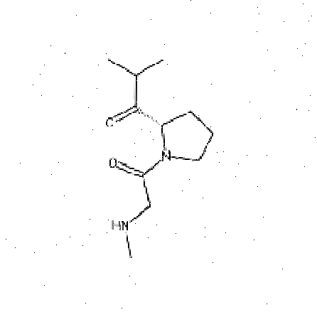 CNCC(=O)N1CCC[C@H]1C(=O)C(C)C